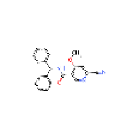 COc1cc(C#N)ncc1C(=O)NC(c1ccccc1)c1ccccc1